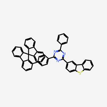 c1ccc(-c2nc(-c3ccc(-c4cccc5c4C4(c6ccccc6-c6ccccc64)c4ccccc4-5)cc3)nc(-c3ccc4sc5ccccc5c4c3)n2)cc1